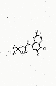 Cc1ccc2c(Cl)c(Cl)cc(NC(=O)OC(C)(C)C)c2n1